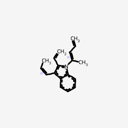 C=C/C=C(\C)n1c(C=C)c(/C=C\C)c2ccccc21